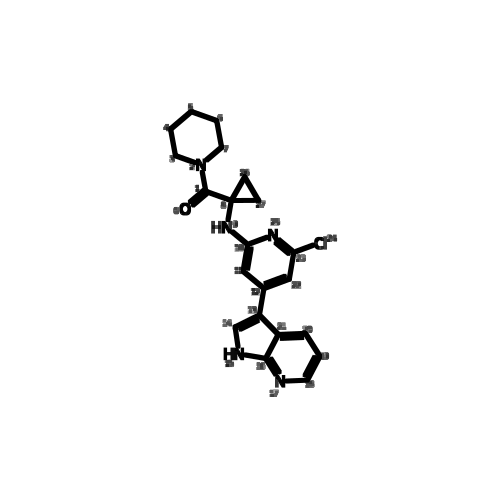 O=C(N1CCCCC1)C1(Nc2cc(-c3c[nH]c4ncccc34)cc(Cl)n2)CC1